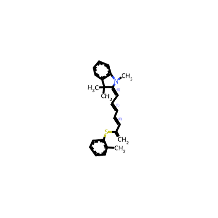 C=C(/C=C/C=C/C=C1/N(C)c2ccccc2C1(C)C)Sc1ccccc1C